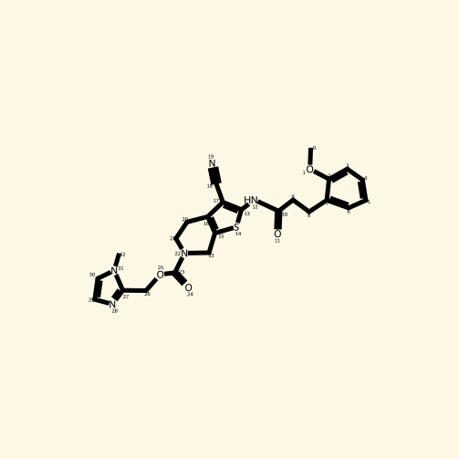 COc1ccccc1CCC(=O)Nc1sc2c(c1C#N)CCN(C(=O)OCc1nccn1C)C2